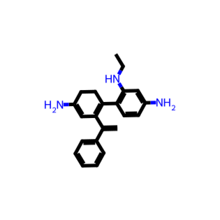 C=C(C1=C(c2ccc(N)cc2NCC)CCC(N)=C1)c1ccccc1